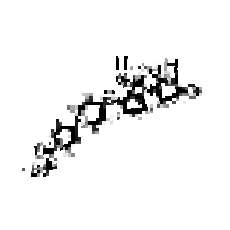 CCCCOC(=O)N1CCC(N2CCC(Oc3cccc4c3n(C)c(=O)n4C3CCC(=O)NC3=O)CC2)CC1